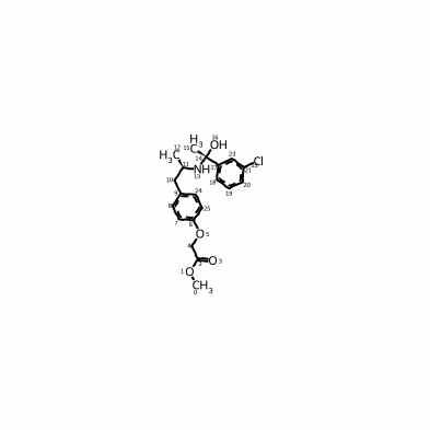 COC(=O)COc1ccc(C[C@@H](C)N[C@](C)(O)c2cccc(Cl)c2)cc1